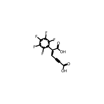 O=C(O)C#CC=C(C(=O)O)c1c(F)c(F)c(F)c(F)c1F